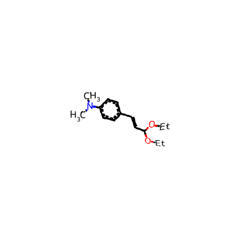 CCOC(C=Cc1ccc(N(C)C)cc1)OCC